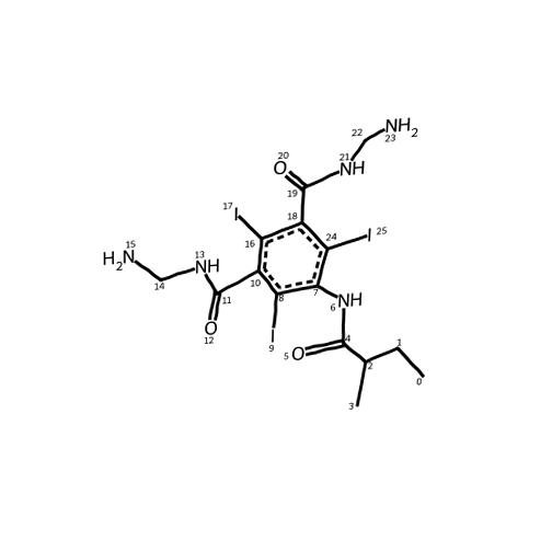 CCC(C)C(=O)Nc1c(I)c(C(=O)NCN)c(I)c(C(=O)NCN)c1I